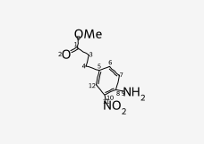 COC(=O)CCc1ccc(N)c([N+](=O)[O-])c1